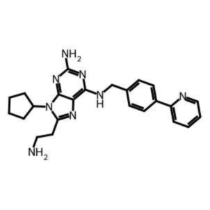 NCCc1nc2c(NCc3ccc(-c4ccccn4)cc3)nc(N)nc2n1C1CCCC1